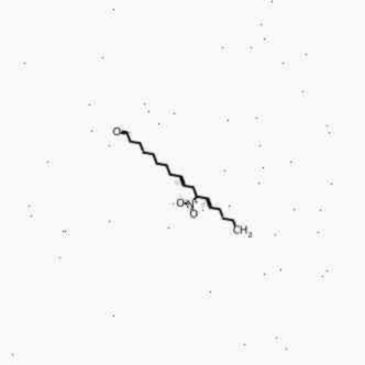 CCCC/C=C/C(C/C=C/CCCCCCC[C]=O)[N+](=O)[O-]